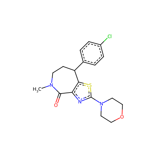 CN1CCC(c2ccc(Cl)cc2)c2sc(N3CCOCC3)nc2C1=O